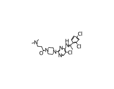 C[C@@H](Nc1nc(N2CCN(C(=O)CCN(C)C)CC2)ncc1Cl)c1ccc(Cl)cc1Cl